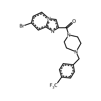 O=C(c1cn2ccc(Br)cc2n1)N1CCN(Cc2ccc(C(F)(F)F)cc2)CC1